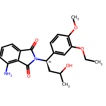 CCOc1cc([C@@H](CC(C)O)N2C(=O)c3cccc(N)c3C2=O)ccc1OC